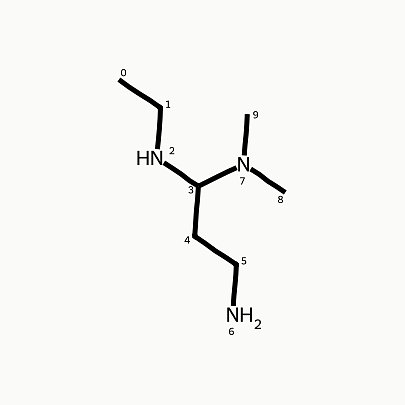 CCNC(CCN)N(C)C